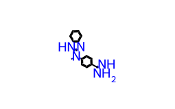 CN(c1ccc(C(=N)N)cc1)c1nc2ccccc2[nH]1